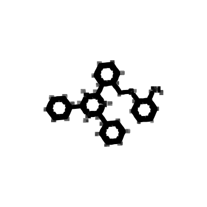 Nc1ccccc1OCc1ccccc1-c1nc(-c2ccccc2)nc(-c2ccccc2)n1